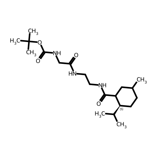 CC1CC[C@@H](C(C)C)C(C(=O)NCCNC(=O)CNC(=O)OC(C)(C)C)C1